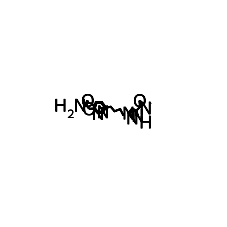 CNC(=O)c1cn(CCCCc2ccc(OC(N)=O)nn2)nn1